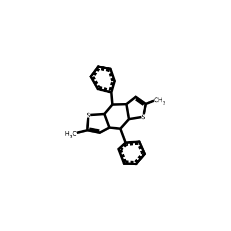 CC1=CC2C(S1)C(c1ccccc1)C1C=C(C)SC1C2c1ccccc1